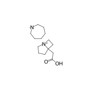 C1CCC[N]CC1.O=C(O)CC12CCC[N+]1CC2